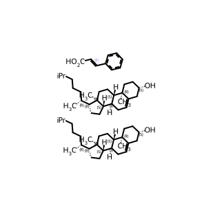 CC(C)CCC[C@@H](C)[C@H]1CC[C@H]2[C@@H]3CC=C4C[C@@H](O)CC[C@]4(C)[C@H]3CC[C@]12C.CC(C)CCC[C@@H](C)[C@H]1CC[C@H]2[C@@H]3CC=C4C[C@@H](O)CC[C@]4(C)[C@H]3CC[C@]12C.O=C(O)/C=C/c1ccccc1